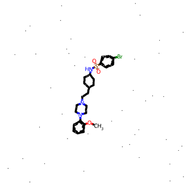 COc1ccccc1N1CCN(CCC2CCC(NS(=O)(=O)c3ccc(Br)cc3)CC2)CC1